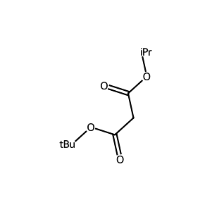 CC(C)OC(=O)CC(=O)OC(C)(C)C